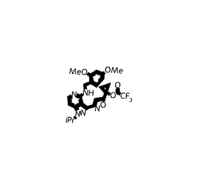 COc1ccc(CNc2nccc3c2c(-c2cc(C4(OC(=O)C(F)(F)F)CC4)on2)nn3C(C)C)c(OC)c1